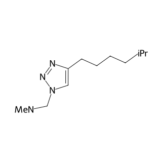 CNCn1cc(CCCCC(C)C)nn1